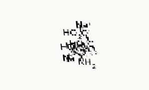 CC(=O)O.CC(=O)O.CC(=O)O.CC(=O)O.NCCN.[F-].[F-].[Na+].[Na+]